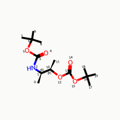 C[C@@H](NC(=O)OC(C)(C)C)[C@@H](C)OC(=O)OC(C)(C)C